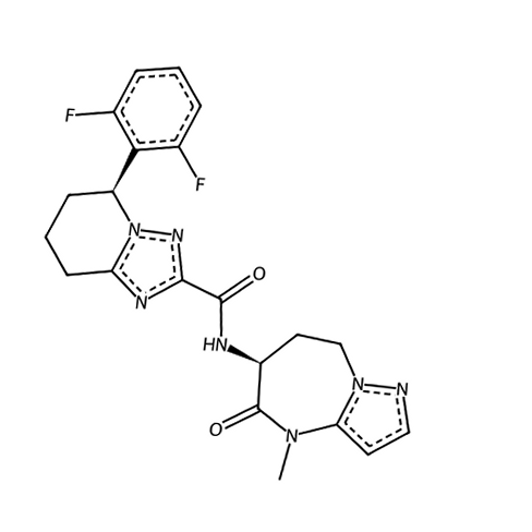 CN1C(=O)[C@@H](NC(=O)c2nc3n(n2)[C@H](c2c(F)cccc2F)CCC3)CCn2nccc21